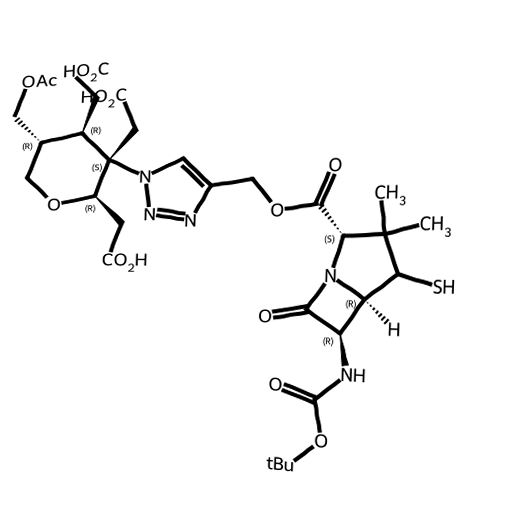 CC(=O)OC[C@H]1CO[C@H](CC(=O)O)[C@@](CC(=O)O)(n2cc(COC(=O)[C@H]3N4C(=O)[C@H](NC(=O)OC(C)(C)C)[C@@H]4C(S)C3(C)C)nn2)[C@@H]1CC(=O)O